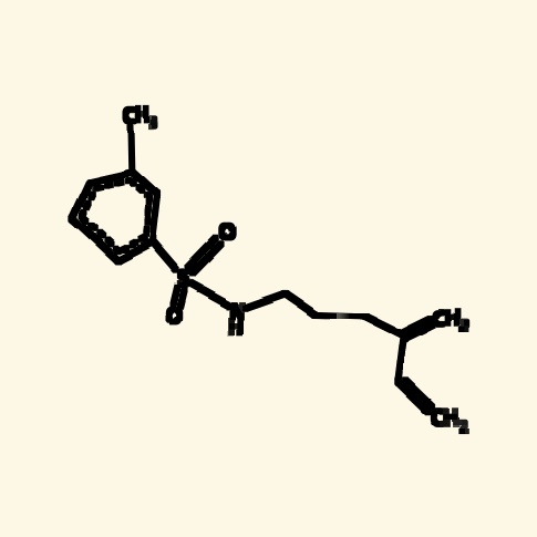 C=CC(=C)CCCNS(=O)(=O)c1cccc(C)c1